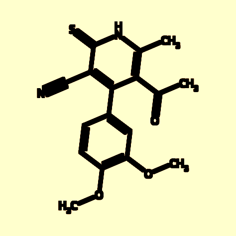 COc1ccc(-c2c(C(C)=O)c(C)[nH]c(=S)c2C#N)cc1OC